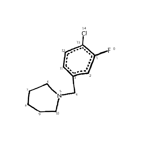 Fc1cc(CN2CCCCC2)ccc1Cl